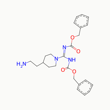 NCCC1CCN(C(=NC(=O)OCc2ccccc2)NC(=O)OCc2ccccc2)CC1